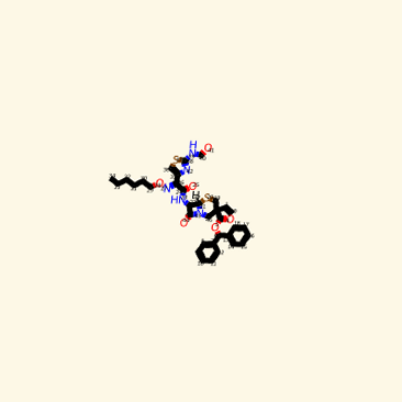 C=CC1(C(=O)OC(c2ccccc2)c2ccccc2)CS[C@@H]2C(NC(=O)C(=NOCCCCCC)c3csc(NC=O)n3)C(=O)N2C1